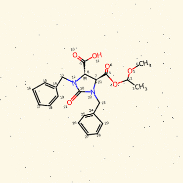 COC(C)OC(=O)[C@@H]1[C@H](C(=O)O)N(Cc2ccccc2)C(=O)N1Cc1ccccc1